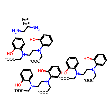 NCCN.O=C([O-])CN(CCN(CC(=O)[O-])c1ccccc1O)c1ccccc1O.O=C([O-])CN(CCN(CC(=O)[O-])c1ccccc1O)c1ccccc1O.O=C([O-])CN(CCN(CC(=O)[O-])c1ccccc1O)c1ccccc1O.[Fe+3].[Fe+3]